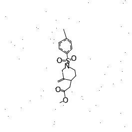 C=C1CN(S(=O)(=O)c2ccc(C)cc2)CCC1CC(=O)OC